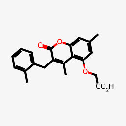 Cc1cc(OCC(=O)O)c2c(C)c(Cc3ccccc3C)c(=O)oc2c1